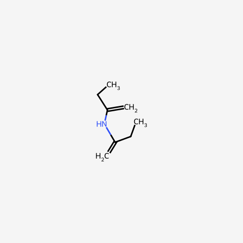 C=C(CC)NC(=C)CC